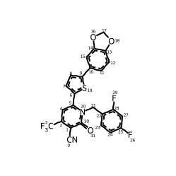 N#Cc1c(C(F)(F)F)cc(-c2ccc(-c3ccc4c(c3)OCO4)s2)n(Cc2ccc(F)cc2F)c1=O